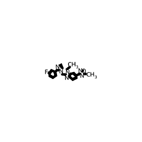 CCCn1c(Cn2ccnc2-c2cccc(F)c2)nc2ccc(-c3noc(C)n3)cc21